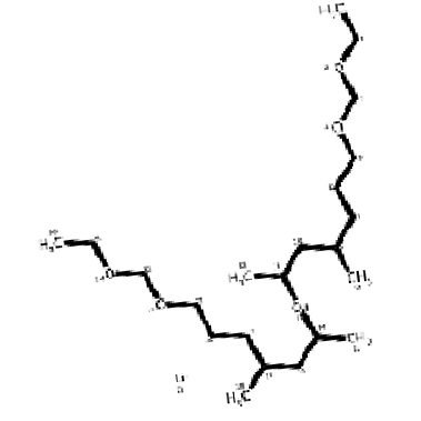 CCOCOCCCC(C)C[CH](C)[Cu][CH](C)CC(C)CCCOCOCC.[Li]